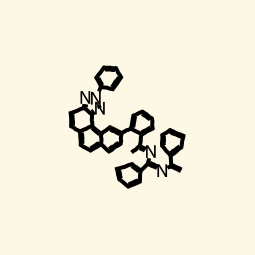 C=C(/N=C(\N=C(/C)c1ccccc1-c1ccc2ccc3ccc4nn(-c5ccccc5)nc4c3c2c1)c1ccccc1)c1ccccc1